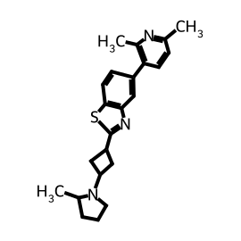 Cc1ccc(-c2ccc3sc(C4CC(N5CCCC5C)C4)nc3c2)c(C)n1